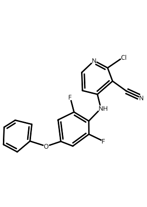 N#Cc1c(Nc2c(F)cc(Oc3ccccc3)cc2F)ccnc1Cl